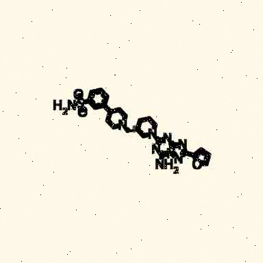 Nc1nc(N2CCC[C@@H](CN3CCC(c4cccc(S(N)(=O)=O)c4)CC3)C2)nc2nc(-c3ccco3)nn12